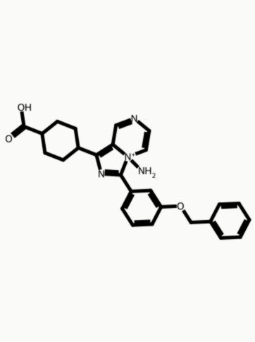 N[N+]12C=CN=CC1=C(C1CCC(C(=O)O)CC1)N=C2c1cccc(OCc2ccccc2)c1